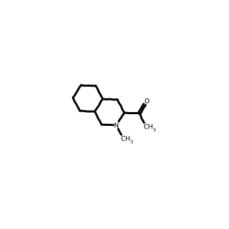 CC(=O)C1CC2CCCCC2CN1C